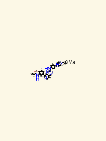 C=CC(=O)Nc1cccc(-c2nccc3cnc(Nc4ccc(N5CCN(CCOC)CC5)cc4)nc23)c1